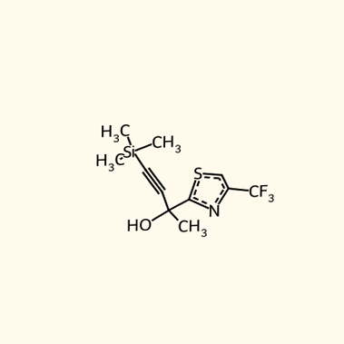 CC(O)(C#C[Si](C)(C)C)c1nc(C(F)(F)F)cs1